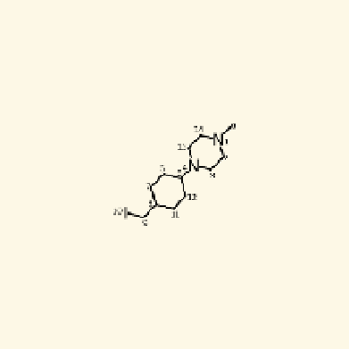 CN1CCN(C2CCC(CI)CC2)CC1